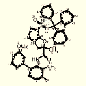 COc1cc(-c2ccc(F)c(C)c2NC(=O)C2(C)Cn3ncc(S(N)(=O)=NC(c4ccccc4)(c4ccccc4)c4ccccc4)c3O2)ccn1